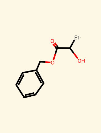 C[CH]C(O)C(=O)OCc1ccccc1